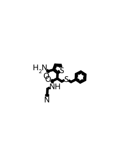 N#CCNC(=O)C(CSCc1ccccc1)c1sccc1C(N)=O